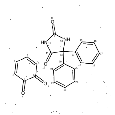 O=C1C=CC=CC1=O.O=C1NC(=O)C(c2ccccc2)(c2ccccc2)N1